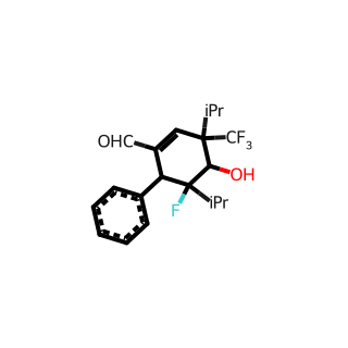 CC(C)C1(F)C(c2ccccc2)C(C=O)=CC(C(C)C)(C(F)(F)F)C1O